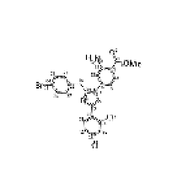 COC(=O)c1ccc(-n2cc(-c3ccc(Cl)cc3Cl)nc2Cc2ccc(Br)cc2)cc1N